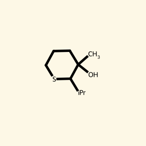 CC(C)C1SCCCC1(C)O